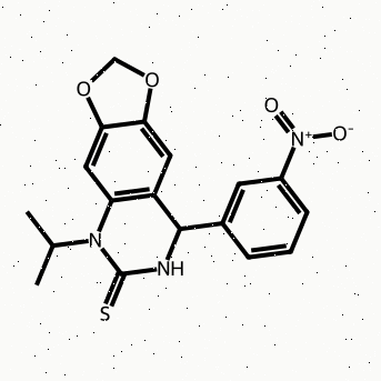 CC(C)N1C(=S)NC(c2cccc([N+](=O)[O-])c2)c2cc3c(cc21)OCO3